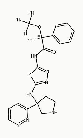 [2H]C([2H])([2H])O[C@]([2H])(C(=O)Nc1nnc(NC2(c3cccnn3)CCNC2)s1)c1ccccc1